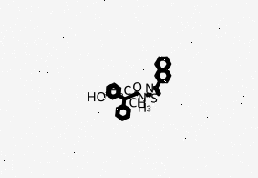 CC(C)(C(=O)Nc1nc(-c2ccc3ccccc3c2)cs1)C(c1ccccc1)c1cccc(O)c1